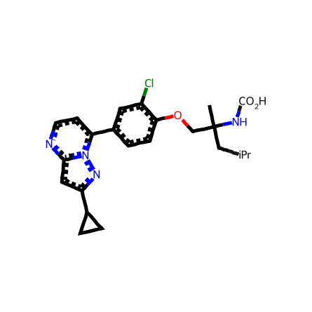 CC(C)CC(C)(COc1ccc(-c2ccnc3cc(C4CC4)nn23)cc1Cl)NC(=O)O